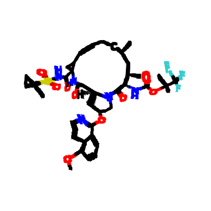 COc1cccc2c(O[C@@H]3C[C@H]4C(=O)N[C@]5(C(=O)NS(=O)(=O)C6(C)CC6)CC5/C=C\CC[C@@H](C)C[C@@H](C)[C@H](NC(=O)OC(C)(C)C(F)(F)F)C(=O)N4C3)nccc12